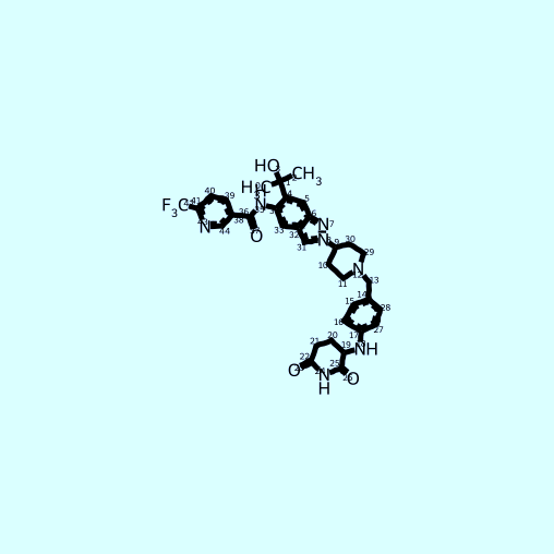 CC(C)(O)c1cc2nn(C3CCN(Cc4ccc(NC5CCC(=O)NC5=O)cc4)CC3)cc2cc1NC(=O)c1ccc(C(F)(F)F)nc1